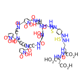 O=C(O)CC[C@H](NC(=O)N[C@@H](CCCCNC(S)Nc1ccc(NC(=S)NCCCC[C@H]2CNC(=O)c3ccc(c(=O)n3O)C(=O)NCCCN(C(=O)c3cccc(=O)n3O)CCCCN(C(=O)c3cccc(=O)n3O)CCCNC(=O)c3ccc(n(O)c3=O)C(=O)N2)cc1)C(=O)O)C(=O)O